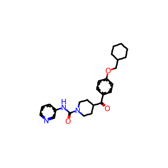 O=C(c1ccc(OCC2CCCCC2)cc1)C1CCN(C(=O)Nc2cccnc2)CC1